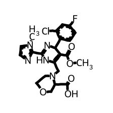 COC(=O)C1=C(CN2CCOCC2C(=O)O)NC(c2nccn2C)=NC1c1ccc(F)cc1Cl